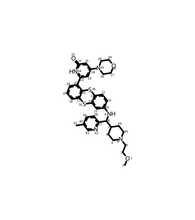 COCCN1CCC(C(Nc2ccc3c(c2)Sc2cccc(-c4cc(N5CCOCC5)cc(=O)[nH]4)c2S3)c2ccc(C)cn2)CC1